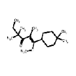 CCC(C)(C)C(=O)/C(C)=C(\OC)C1CCC(C)(C)CC1